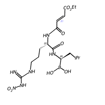 CCOC(=O)/C=C/C(=O)N[C@@H](CCCNC(=N)N[N+](=O)[O-])C(=O)N[C@@H](CC(C)C)B(O)O